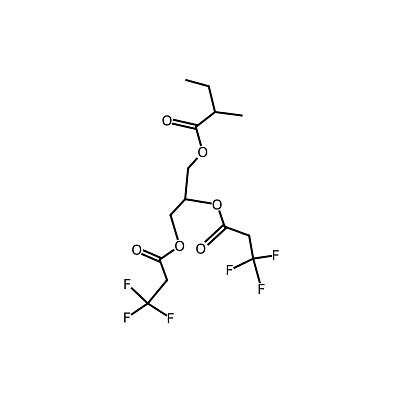 CCC(C)C(=O)OCC(COC(=O)CC(F)(F)F)OC(=O)CC(F)(F)F